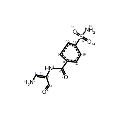 N/C=C(\C=O)NC(=O)c1ccc(S(N)(=O)=O)cc1